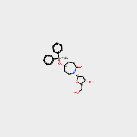 CC(C)(C)[Si](O[C@@H]1CCC(=O)N([C@@H]2C[C@H](O)[C@@H](CO)O2)CC1)(c1ccccc1)c1ccccc1